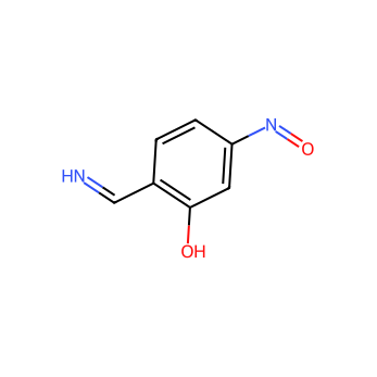 N=Cc1ccc(N=O)cc1O